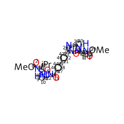 COC(=O)N[C@H](C(=O)N1CCC[C@@H]1CNC(=O)c1ccc(-c2ccc(-c3cnc([C@@H]4CCCN4C(=O)[C@@H](NC(=O)OC)C(C)C)[nH]3)cc2)cc1)C(C)C